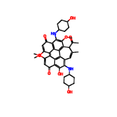 COc1c(NC2CCC(O)CC2)c2c(=O)cc(OC)c3c4c(OC)cc(=O)c5c(O)c(NC6CCC(O)CC6)c6c(c(c1C(C(C)=O)C(C)=C6)c23)c54